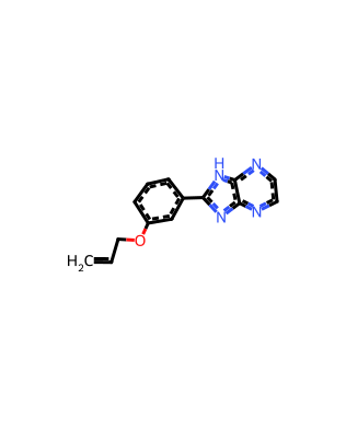 C=CCOc1cccc(-c2nc3nccnc3[nH]2)c1